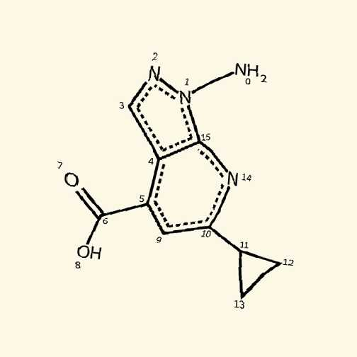 Nn1ncc2c(C(=O)O)cc(C3CC3)nc21